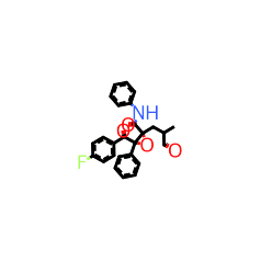 CC(C=O)CC1(C(=O)Nc2ccccc2)OC1(C(=O)c1ccc(F)cc1)c1ccccc1